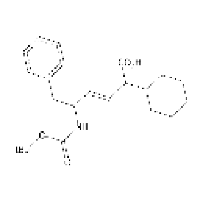 CC(C)(C)OC(=O)NC(C=CC(C(=O)O)C1CCCCC1)Cc1ccccc1